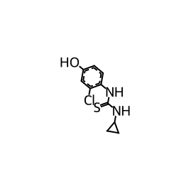 Oc1ccc(NC(=S)NC2CC2)c(Cl)c1